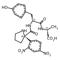 C[C@H](NC(=O)[C@H](Cc1ccc(O)cc1)NC(=O)[C@]1(c2ccc([N+](=O)[O-])cc2[N+](=O)[O-])CCCN1)C(=O)O